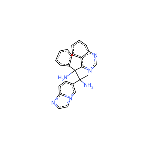 CC(N)(c1ccc2nccn2c1)C(N)(c1ccccc1)c1ncnc2ccccc12